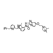 Cc1nn(Cc2cccc(CC(C)C)n2)c2cccc(NC(=O)c3cnc4cc(OCCN5CCN(C)C(C)C5)ccn34)c12